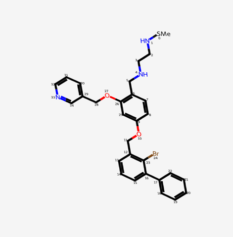 CSNCCNCc1ccc(OCc2cccc(-c3ccccc3)c2Br)cc1OCc1cccnc1